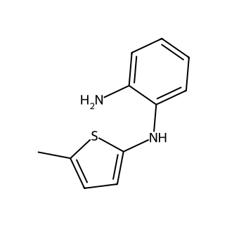 Cc1ccc(Nc2ccccc2N)s1